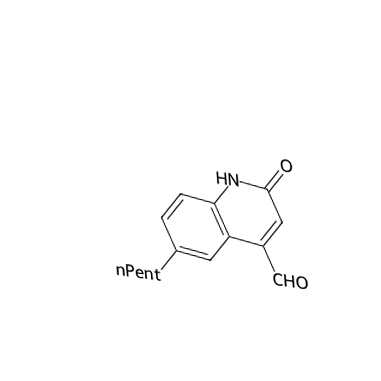 CCCCCc1ccc2[nH]c(=O)cc(C=O)c2c1